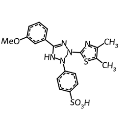 COc1cccc(C2=NN(c3nc(C)c(C)s3)N(c3ccc(S(=O)(=O)O)cc3)N2)c1